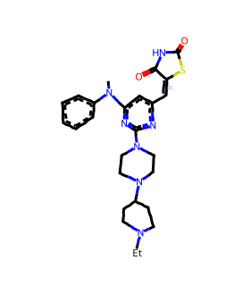 CCN1CCC(N2CCN(c3nc(/C=C4/SC(=O)NC4=O)cc(N(C)c4ccccc4)n3)CC2)CC1